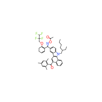 CCCCC(CC)Cn1c2ccc(/C(=N\OC(C)=O)C3=C(OCC(F)(F)C(F)F)CCC=C3)cc2c2cc(C(=O)c3c(C)cc(C)cc3C)c3ccccc3c21